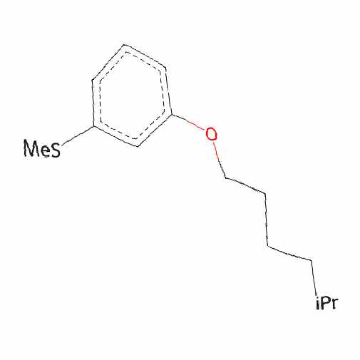 CSc1cccc(OCCCCC(C)C)c1